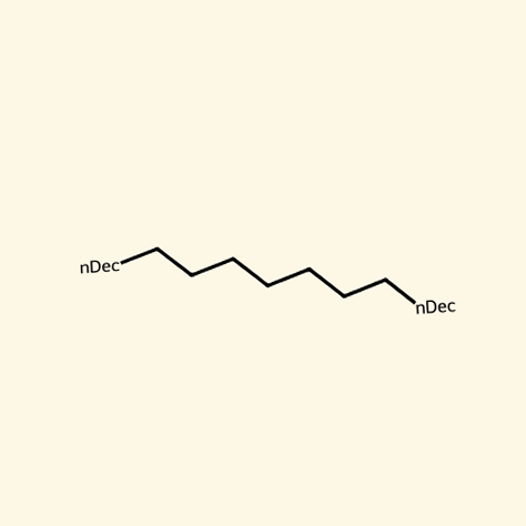 [CH2]CCC[CH]CCCCCCCCCCCCCCCCCCCCCC